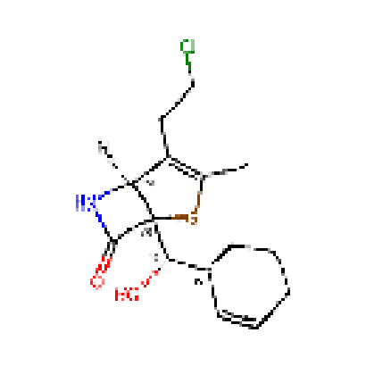 CC1=C(CCCl)[C@@H]2NC(=O)[C@]2([C@@H](O)[C@@H]2C=CCCC2)S1